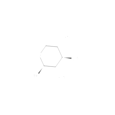 CC(=O)O[C@H]1[C@H](OC(C)=O)[C@@H](Br)OC[C@@H]1OC(C)=O